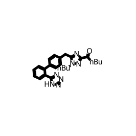 CCCCC(=O)c1nc(Cc2ccc(-c3ccccc3-c3nnn[nH]3)cc2)n(CCCC)n1